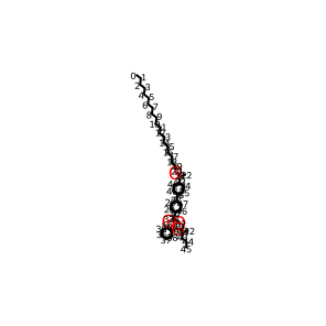 CCCCCCCCCCCCCCCCCCCCOC(C)c1ccc(-c2ccc(C(=O)Oc3ccccc3OC(C)CCC)cc2)cc1